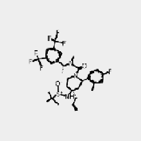 C=CC[C@]1(N[S+]([O-])C(C)(C)C)CCN(C(=O)N(C)[C@H](C)c2cc(C(F)(F)F)cc(C(F)(F)F)c2)[C@@H](c2ccc(F)cc2C)C1